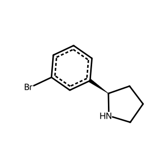 Brc1cccc([C@H]2CCCN2)c1